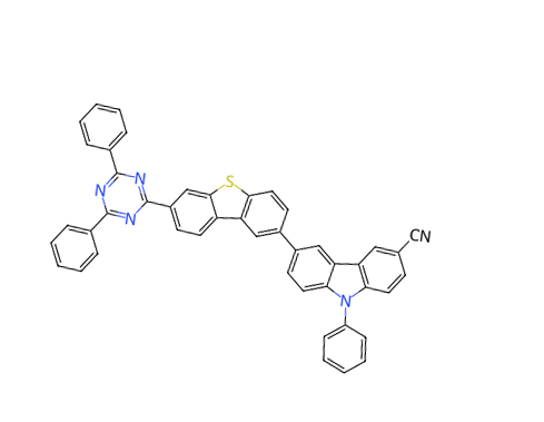 N#Cc1ccc2c(c1)c1cc(-c3ccc4sc5cc(-c6nc(-c7ccccc7)nc(-c7ccccc7)n6)ccc5c4c3)ccc1n2-c1ccccc1